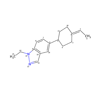 CC=C1CCC(c2ccc3c(cnn3CC)c2)CC1